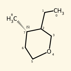 CCC1COCC[C@@H]1C